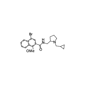 COc1c(C(=O)NCC2CCCN2CC2CC2)cc(Br)c2ccccc12